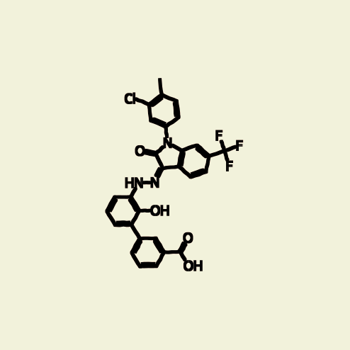 Cc1ccc(N2C(=O)C(=NNc3cccc(-c4cccc(C(=O)O)c4)c3O)c3ccc(C(F)(F)F)cc32)cc1Cl